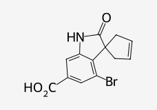 O=C(O)c1cc(Br)c2c(c1)NC(=O)C21CC=CC1